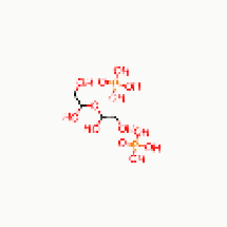 O=P(O)(O)O.O=P(O)(O)O.OCC(O)OC(O)CO